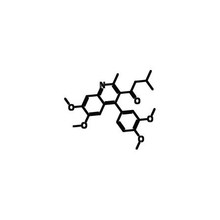 COc1ccc(-c2c(C(=O)CC(C)C)c(C)nc3cc(OC)c(OC)cc23)cc1OC